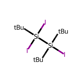 CC(C)(C)[Si](I)(I)[Si](I)(C(C)(C)C)C(C)(C)C